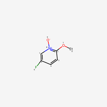 CCOc1ccc(F)c[n+]1[O-]